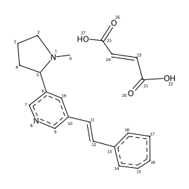 CN1CCCC1c1cncc(C=Cc2ccccc2)c1.O=C(O)C=CC(=O)O